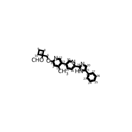 Cc1cc(OCC2(C=O)CCC2)ncc1-c1ccc(-c2ncc(-c3ccccc3)[nH]2)nc1